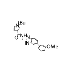 COc1cccc(-c2ccc3nc(CNC(=O)c4ccn(C(C)(C)C)c4)[nH]c3c2)c1